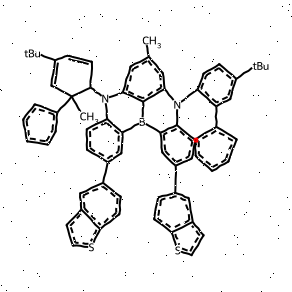 Cc1cc2c3c(c1)N(C1C=CC(C(C)(C)C)=CC1(C)c1ccccc1)c1ccc(-c4ccc5sccc5c4)cc1B3c1cc(-c3ccc4sccc4c3)ccc1N2c1ccc(C(C)(C)C)cc1-c1ccccc1